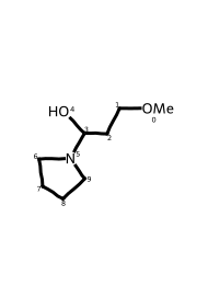 COCCC(O)N1CCCC1